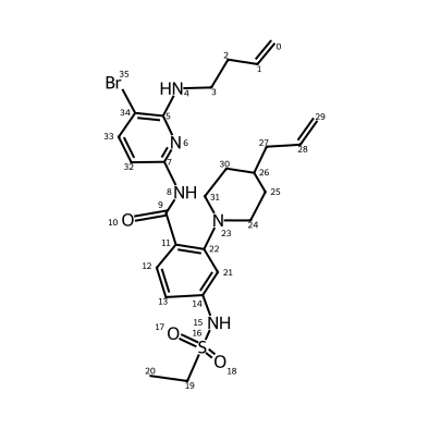 C=CCCNc1nc(NC(=O)c2ccc(NS(=O)(=O)CC)cc2N2CCC(CC=C)CC2)ccc1Br